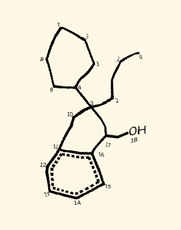 CCCC1(C2CCCCC2)Cc2ccccc2C1O